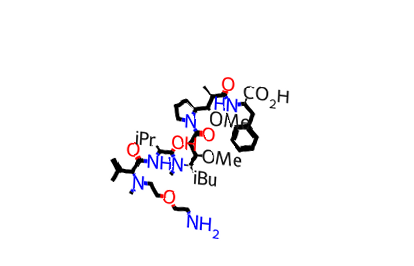 C=C(C)[C@@H](C(=O)N[C@@H](C(C)C)C(O)N(C)[C@@H]([C@@H](C)CC)[C@@H](CC(=O)N1CCC[C@H]1[C@H](OC)[C@@H](C)C(=O)N[C@@H](Cc1ccccc1)C(=O)O)OC)N(C)CCOCCN